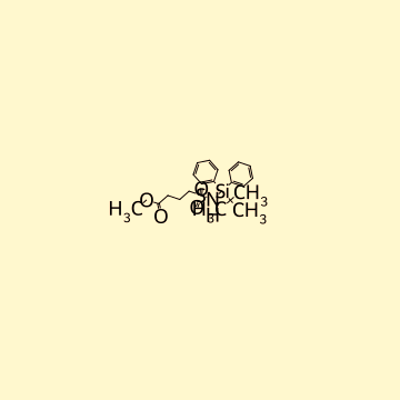 COC(=O)CCCS(=O)(=O)N[Si](c1ccccc1)(c1ccccc1)C(C)(C)C